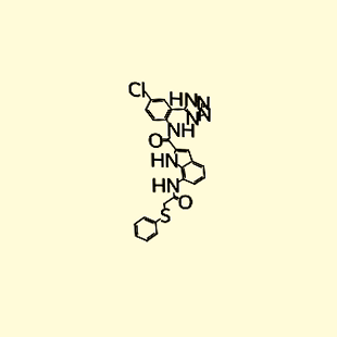 O=C(CSc1ccccc1)Nc1cccc2cc(C(=O)Nc3ccc(Cl)cc3-c3nnn[nH]3)[nH]c12